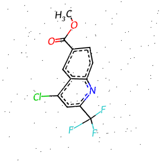 COC(=O)c1ccc2nc(C(F)(F)F)cc(Cl)c2c1